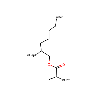 CCCCCCCCCCCCCCC(CCCCCCC)COC(=O)C(C)CCCCCCCC